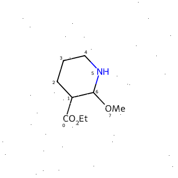 CCOC(=O)C1CCCNC1OC